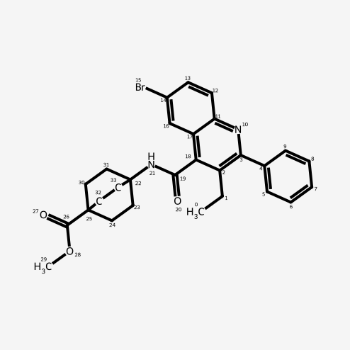 CCc1c(-c2ccccc2)nc2ccc(Br)cc2c1C(=O)NC12CCC(C(=O)OC)(CC1)CC2